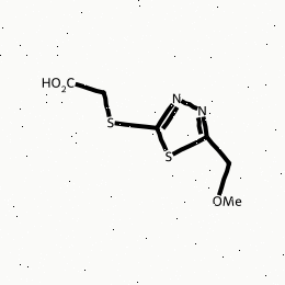 COCc1nnc(SCC(=O)O)s1